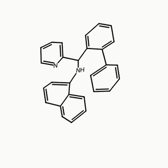 c1ccc(-c2ccccc2C(Nc2cccc3ccccc23)c2ccccn2)cc1